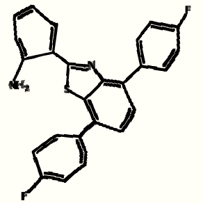 Nc1ccccc1-c1nc2c(-c3ccc(F)cc3)ccc(-c3ccc(F)cc3)c2s1